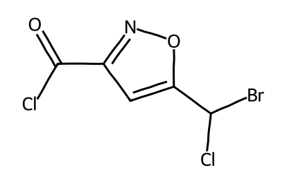 O=C(Cl)c1cc(C(Cl)Br)on1